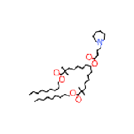 CCCCCCCCCOC(=O)C(C)(C)CCCCCC(CCCCCC(C)(C)C(=O)OCCCCCCCCC)OC(=O)CCCN1CCCCCC1